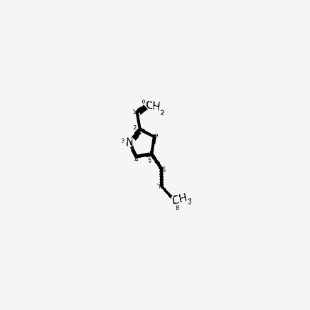 C=CC1=NCC(CCC)C1